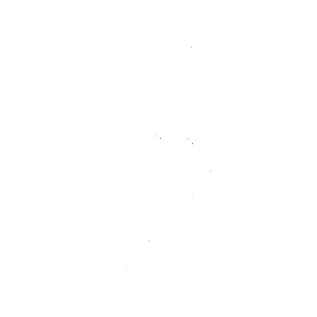 Cc1nn(CC2CCC(F)(F)C2)cc1C(F)(F)F